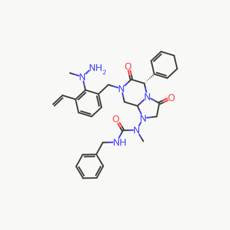 C=Cc1cccc(CN2CC3N(C(=O)CN3N(C)C(=O)NCc3ccccc3)[C@@H](C3=CCCC=C3)C2=O)c1N(C)N